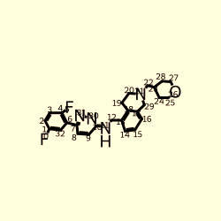 Fc1ccc(F)c(-c2ccc(NCc3cccc4c3CCN(CC3CCOCC3)C4)nn2)c1